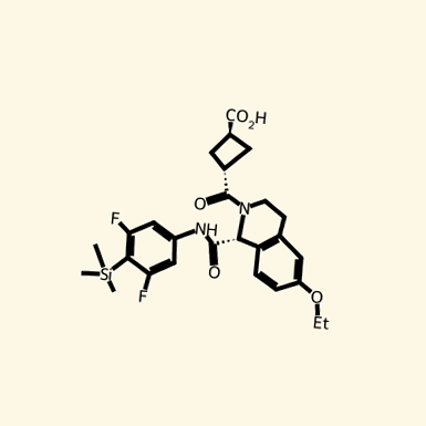 CCOc1ccc2c(c1)CCN(C(=O)[C@H]1C[C@H](C(=O)O)C1)[C@H]2C(=O)Nc1cc(F)c([Si](C)(C)C)c(F)c1